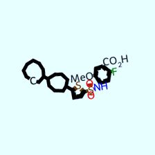 COc1cc(C(=O)O)c(F)cc1NS(=O)(=O)c1ccc(C2CCCC(C3CCCCCCCC3)CCC2)s1